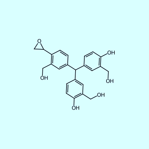 OCc1cc(C(c2ccc(O)c(CO)c2)c2ccc(C3CO3)c(CO)c2)ccc1O